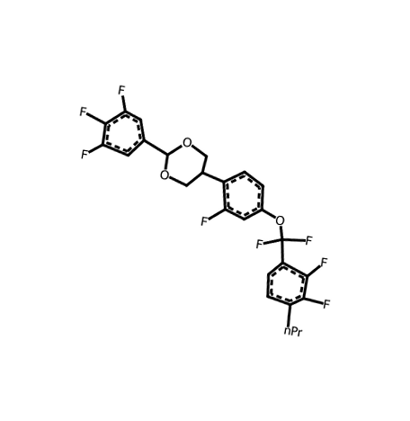 CCCc1ccc(C(F)(F)Oc2ccc(C3COC(c4cc(F)c(F)c(F)c4)OC3)c(F)c2)c(F)c1F